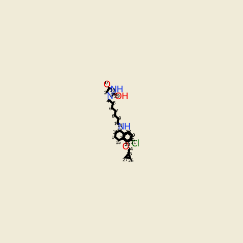 O=C1CN(CCCCCCCN[C@@H]2CCCc3c2ccc(Cl)c3OCC2CC2)C(O)N1